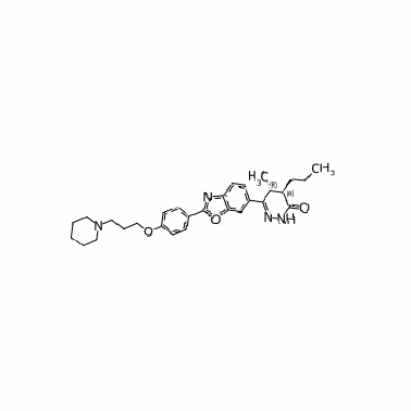 CCC[C@H]1C(=O)NN=C(c2ccc3nc(-c4ccc(OCCCN5CCCCC5)cc4)oc3c2)[C@@H]1C